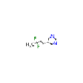 CC(F)(F)C=Cc1cncnc1